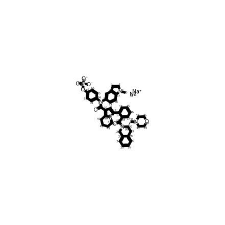 Cn1ccc2cc(N(C(=O)c3cc(-c4ccccc4C(=O)N4Cc5ccccc5C[C@H]4CN4CCOCC4)n4c3CCCC4)c3ccc(OP(=O)([O-])[O-])cc3)ccc21.[Na+].[Na+]